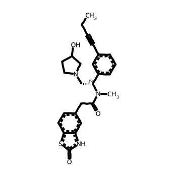 CCC#Cc1cccc([C@@H](CN2CCC(O)C2)N(C)C(=O)Cc2ccc3sc(=O)[nH]c3c2)c1